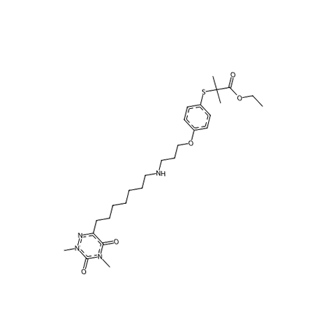 CCOC(=O)C(C)(C)Sc1ccc(OCCCNCCCCCCCc2nn(C)c(=O)n(C)c2=O)cc1